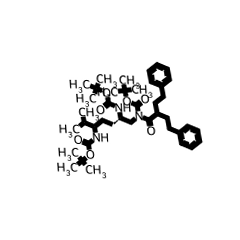 CC(C)C(CC[C@@H](CN(C(=O)OC(C)(C)C)C(=O)C(CCc1ccccc1)CCc1ccccc1)NC(=O)OC(C)(C)C)NC(=O)OC(C)(C)C